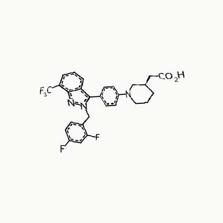 O=C(O)C[C@H]1CCCN(c2ccc(-c3c4cccc(C(F)(F)F)c4nn3Cc3ccc(F)cc3F)cc2)C1